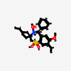 CCCC[C@]1(CC)CS(=O)(=O)c2cc(CC)c(OC)cc2[C@@H](c2ccccc2)N1O